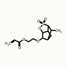 C=CC(=O)OCCOC1C2CC3C1OS(=O)(=O)C3C2C